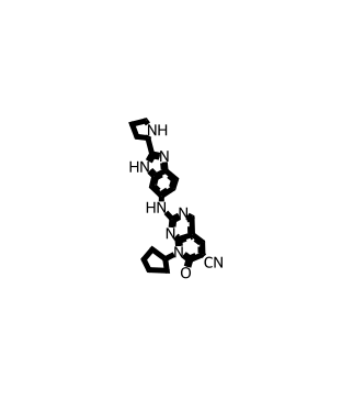 N#Cc1cc2cnc(Nc3ccc4nc(C5CCCN5)[nH]c4c3)nc2n(C2CCCC2)c1=O